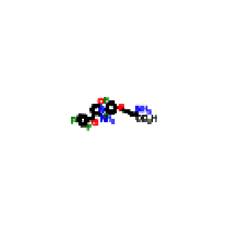 Nc1c(C(=O)c2ccc(F)cc2F)ccc(=O)n1-c1c(F)cc(OCCC[C@H](N)C(=O)O)cc1F